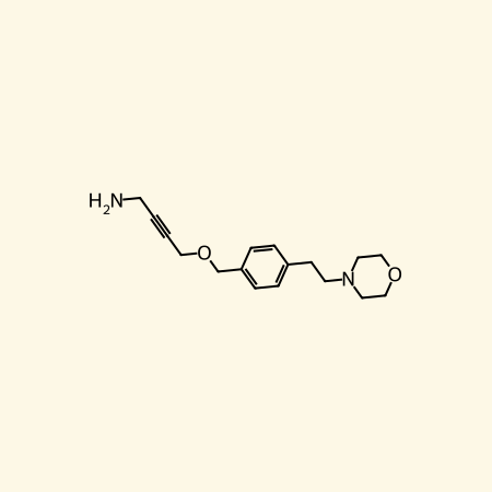 NCC#CCOCc1ccc(CCN2CCOCC2)cc1